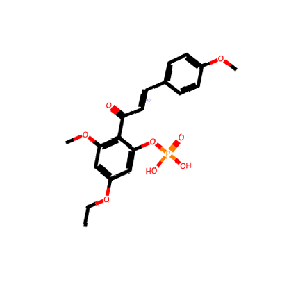 CCOc1cc(OC)c(C(=O)/C=C/c2ccc(OC)cc2)c(OP(=O)(O)O)c1